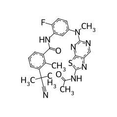 CC(=O)Nc1nc2cnc(N(C)c3ccc(F)c(NC(=O)c4cccc(C(C)(C)C#N)c4C)c3)nc2s1